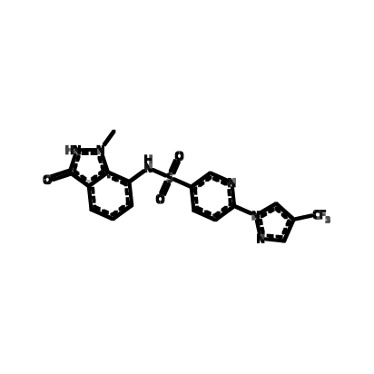 Cn1[nH]c(=O)c2cccc(NS(=O)(=O)c3ccc(-n4cc(C(F)(F)F)cn4)nc3)c21